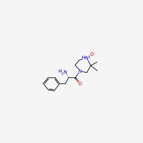 CC1(C)CN(C(=O)[C@@H](N)Cc2ccccc2)CC[NH+]1[O-]